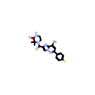 CC(C)c1cc(-c2ccc(F)cc2)nn2cc(C(=O)N3CCNC(=O)C3(C)C)nc12